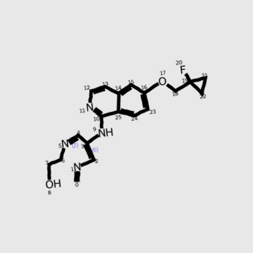 C=N/C=C(\C=N/CCO)Nc1nccc2cc(OCC3(F)CC3)ccc12